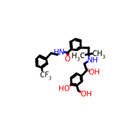 CC(C)(Cc1cccc(C(=O)NCCc2cccc(C(F)(F)F)c2)c1)NC[C@H](O)c1ccc(O)c(CO)c1